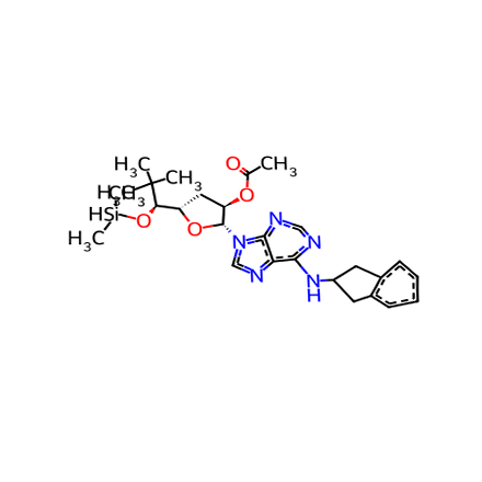 CC(=O)O[C@@H]1C[C@@H]([C@@H](O[SiH](C)C)C(C)(C)C)O[C@H]1n1cnc2c(NC3Cc4ccccc4C3)ncnc21